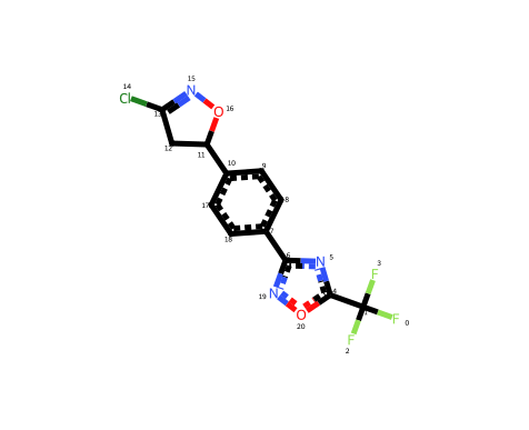 FC(F)(F)c1nc(-c2ccc(C3CC(Cl)=NO3)cc2)no1